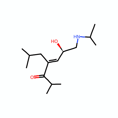 CC(C)C/C(=C\[C@@H](O)CNC(C)C)C(=O)C(C)C